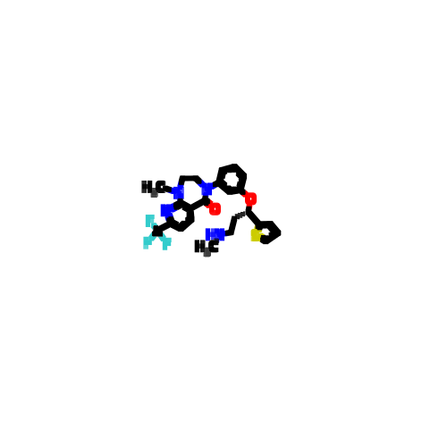 CNCC[C@H](Oc1cccc(N2CCN(C)c3nc(C(F)(F)F)ccc3C2=O)c1)c1cccs1